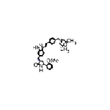 COc1ccccc1C1C/C(=C\c2ccc3c(C=Cc4ccc(CN5C[C@@H](C)O[C@@H](C)C5)cc4)n[nH]c3c2)C(=O)N1